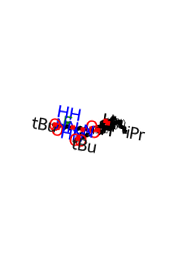 CC(C)CCC[C@@H](C)[C@H]1CC[C@H]2[C@@H]3CC=C4C[C@@H](OC(=O)N(CCCCNCC(F)CNC(=O)OC(C)(C)C)CC(C)CNC(=O)OC(C)(C)C)CC[C@]4(C)[C@H]3CC[C@]12C